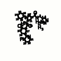 Cn1nncc1CNC(=O)c1cc(NC(=O)c2cc(-c3ncccc3F)ccc2Cl)n(-c2ccccc2)n1